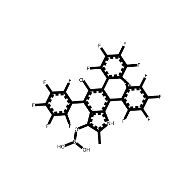 Cc1[nH]c2c(-c3c(F)c(F)c(F)c(F)c3F)c(-c3c(F)c(F)c(F)c(F)c3F)c(Cl)c(-c3c(F)c(F)c(F)c(F)c3F)c2c1OB(O)O